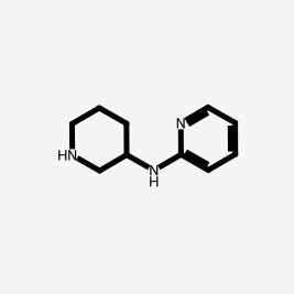 c1ccc(NC2CCCNC2)nc1